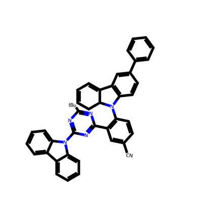 CC(C)(C)c1nc(-c2cc(C#N)ccc2N2c3ccc(-c4ccccc4)cc3C3=CC=CCC32)nc(-n2c3ccccc3c3ccccc32)n1